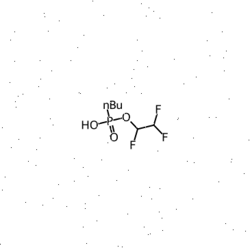 CCCCP(=O)(O)OC(F)C(F)F